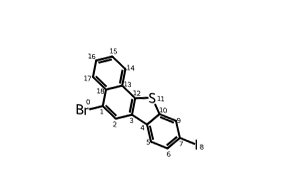 Brc1cc2c3ccc(I)cc3sc2c2ccccc12